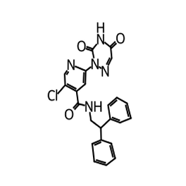 O=C(NCC(c1ccccc1)c1ccccc1)c1cc(-n2ncc(=O)[nH]c2=O)ncc1Cl